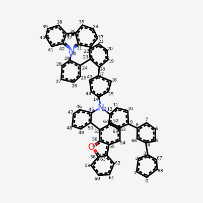 c1ccc(-c2cccc(-c3ccc(N(c4ccc(-c5ccccc5-c5ccccc5-n5c6ccccc6c6ccccc65)cc4)c4ccccc4-c4cccc5c4oc4ccccc45)cc3)c2)cc1